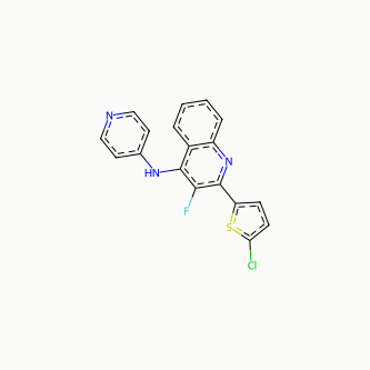 Fc1c(-c2ccc(Cl)s2)nc2ccccc2c1Nc1ccncc1